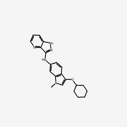 Cn1cc(OC2CCCCC2)c2ccc(Nc3n[nH]c4cccnc34)cc21